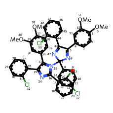 COc1ccc(C2=NC(c3ccc(Cl)cc3)(n3c(-c4ccccc4Cl)nc(-c4ccccc4Cl)c3-c3ccc(OC)c(OC)c3)N=C2c2ccccc2Cl)cc1OC